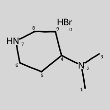 Br.CN(C)C1CCNCC1